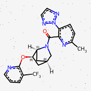 Cc1ccc(-n2nccn2)c(C(=O)N2C[C@H]3C[C@@H](Oc4ncccc4C(F)(F)F)[C@@H]2C3)n1